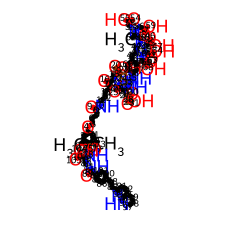 Cc1cc(OCCCC(=O)NCCCCC(=O)C(CS(=O)(=O)O)NC(=O)[C@H](CS(=O)(=O)O)NC(=S)Nc2ccc(CC(CN(CC(=O)O)CC(C)N(CC(=O)O)CC(=O)O)N(CC(=O)O)CC(=O)O)cc2)cc(C)c1S(=O)(=O)NC(CNC(=O)c1ccc(CCc2ccc3c(n2)NCCC3)cc1)C(=O)O